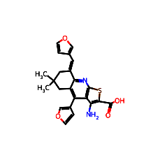 CC1(C)CC(=Cc2ccoc2)c2nc3sc(C(=O)O)c(N)c3c(-c3ccoc3)c2C1